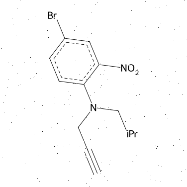 C#CCN(CC(C)C)c1ccc(Br)cc1[N+](=O)[O-]